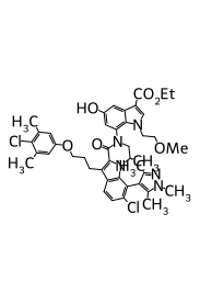 CCOC(=O)c1cn(CCOC)c2c(N3C[C@@H](C)n4c(c(CCCOc5cc(C)c(Cl)c(C)c5)c5ccc(Cl)c(-c6c(C)nn(C)c6C)c54)C3=O)cc(O)cc12